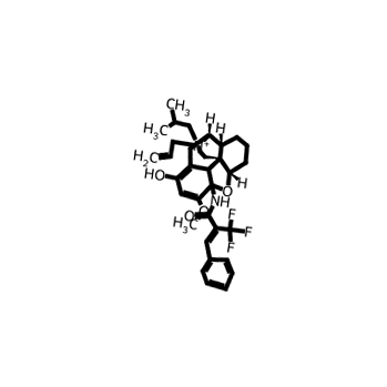 C=CC[N+]1(CC(C)C)CC[C@]23C4C5=C(O)C=C(OC)C4(NC(=O)C(=Cc4ccccc4)C(F)(F)F)O[C@H]2CCC[C@H]3[C@H]1C5